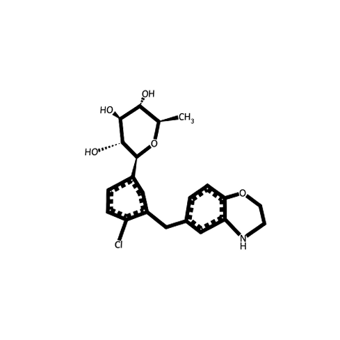 C[C@H]1O[C@@H](c2ccc(Cl)c(Cc3ccc4c(c3)NCCO4)c2)[C@H](O)[C@@H](O)[C@@H]1O